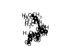 CCN(Cc1cc([N+](=O)[O-])ccc1Oc1c(O)c2c(c(O)c1C(=O)NCCCOc1ccc(C(C)(C)CC)cc1C(C)(C)CC)C1CCC2C1)C(=O)n1ncc2cc([N+](=O)[O-])ccc21